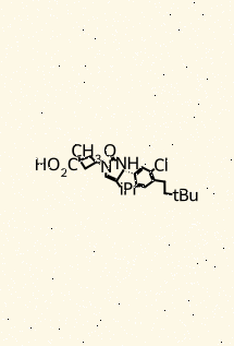 CC(C)C1=CN([C@H]2C[C@](C)(C(=O)O)C2)C(=O)N[C@@H]1c1ccc(CCC(C)(C)C)c(Cl)c1